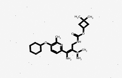 Cc1nc(/C(N)=C(\CNC(=O)OC2CC(C)(C)C2)N(C)N)ccc1OC1CCCCC1